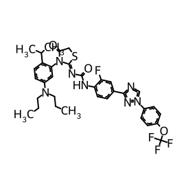 CCCN(CCC)c1ccc(C(C)C)c(N2C(=O)CS/C2=N\C(=O)Nc2ccc(-c3ncn(-c4ccc(OC(F)(F)F)cc4)n3)cc2F)c1